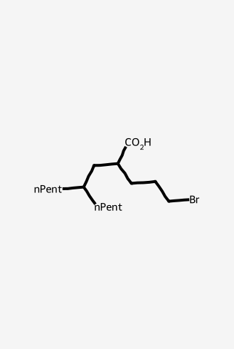 CCCCCC(CCCCC)CC(CCCBr)C(=O)O